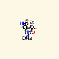 CCC(c1[nH]c(C)c(C(=O)NCCN(CC)CC)c1C)C1C(=O)Nc2ccc(F)cc21